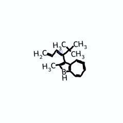 C=C/C=C(\C1=C(C)BC2=C1C=C=CC=C2)C(C)(C)C